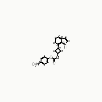 O=C(Oc1ccc([N+](=O)[O-])cc1)OC1CC(c2cccc3cc[nH]c23)C1